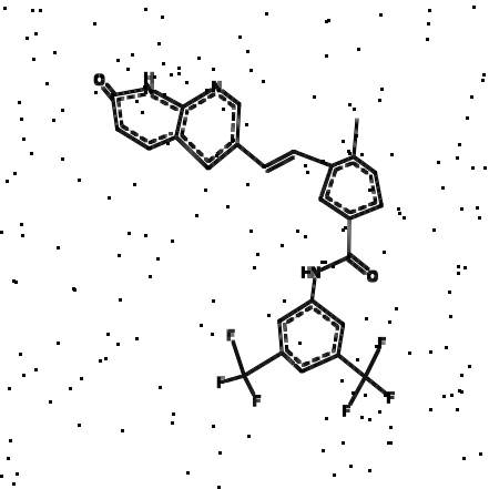 Cc1ccc(C(=O)Nc2cc(C(F)(F)F)cc(C(F)(F)F)c2)cc1/C=C/c1cnc2[nH]c(=O)ccc2c1